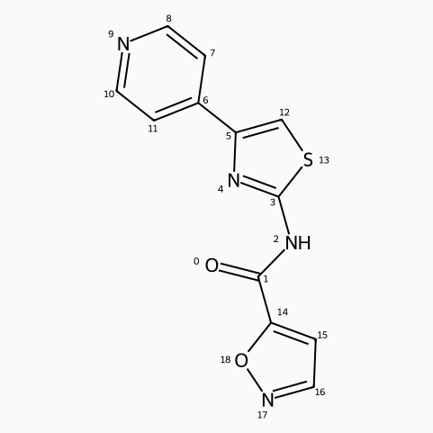 O=C(Nc1nc(-c2ccncc2)cs1)c1ccno1